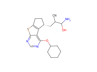 N#CC(C[C@H]1CCc2sc3ncnc(OC4CCCCC4)c3c21)C(N)O